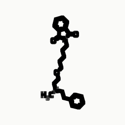 CN(CCOCCCCCN1C(=O)c2ccccc2C1=O)CCc1ccccc1